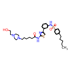 CCCCCc1ccc(S(=O)(=O)Nc2cccc(-c3csc(NC(=O)CCCCCN4CCN(CCO)CC4)n3)c2)cc1